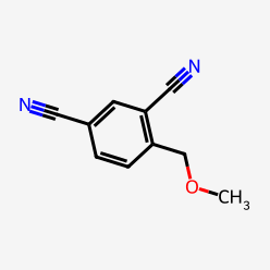 COCc1ccc(C#N)cc1C#N